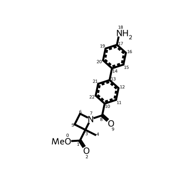 COC(=O)C1(C)CCN1C(=O)c1ccc(-c2ccc(N)cc2)cc1